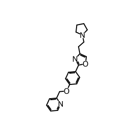 c1ccc(COc2ccc(-c3nc(CCN4CCCC4)co3)cc2)nc1